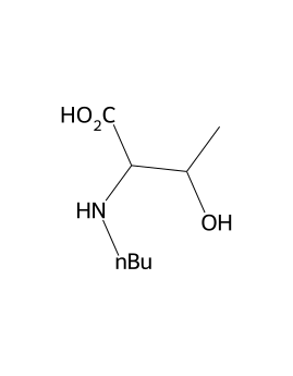 CCCCNC(C(=O)O)C(C)O